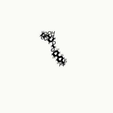 O=P1(C(O)c2ccc(OCCOc3ccc(-c4ccc(C(F)(F)F)cc4)cc3)cn2)OCCO1